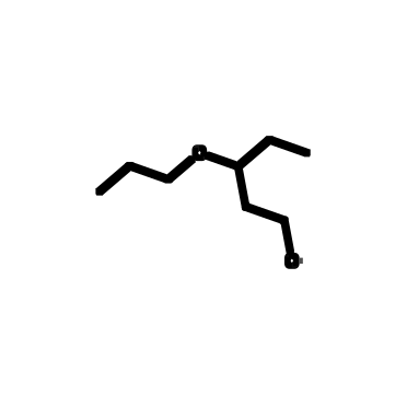 CCCOC(CC)CC[O]